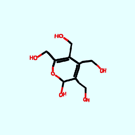 OCC1=C(CO)C(CO)=C(CO)C(O)O1